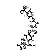 O=C(O)c1ccc(OC2CCN(C(=O)Oc3ccc(C(S)c4ncc[nH]4)cc3)CC2)cc1